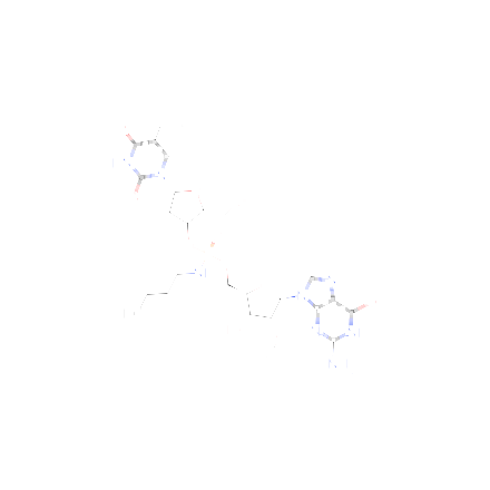 CCCCNP(=O)(OC[C@H]1O[C@@H](n2cnc3c(=O)[nH]c(N)nc32)[C@H](OC)C1O)OC1C[C@H](n2cc(C)c(=O)[nH]c2=O)O[C@@H]1CO